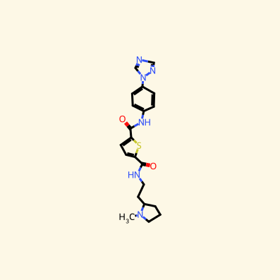 CN1CCCC1CCNC(=O)c1ccc(C(=O)Nc2ccc(-n3cncn3)cc2)s1